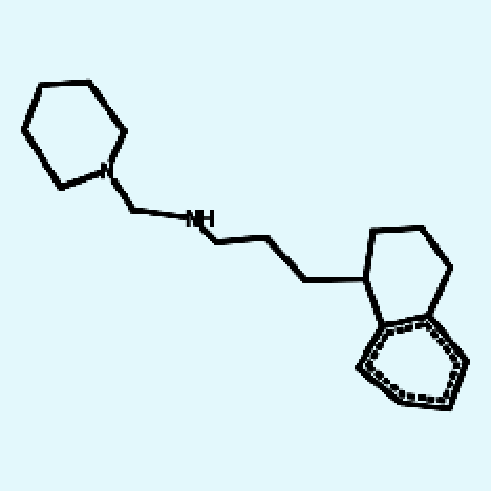 c1ccc2c(c1)CCCC2CCCNCN1CCCCC1